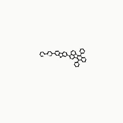 CC1(C)c2cc(C3=CC=C(c4ccccn4)NC3)ccc2-c2ccc(-c3ccc4c5c(cccc35)-c3c-4c(-c4ccccc4)c4ccccc4c3-c3ccccc3)cc21